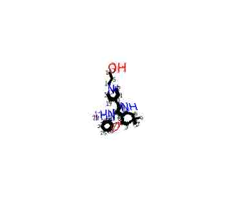 CC1(C)CC(=O)c2c([nH]c(-c3cc[n+](CCCO)cc3)c2Nc2ccccc2)C1.[I-]